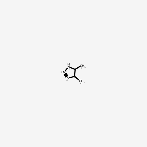 CC1N[N+]#SC1C